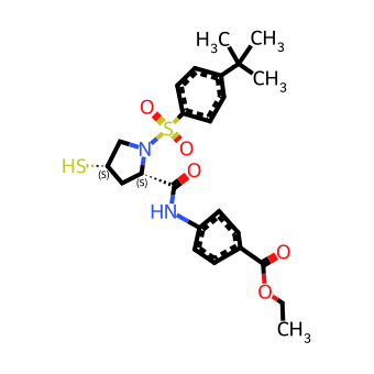 CCOC(=O)c1ccc(NC(=O)[C@@H]2C[C@H](S)CN2S(=O)(=O)c2ccc(C(C)(C)C)cc2)cc1